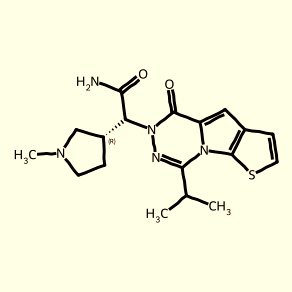 CC(C)c1nn(C(C(N)=O)[C@@H]2CCN(C)C2)c(=O)c2cc3ccsc3n12